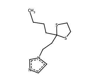 CCCCC1(CCn2ccnc2)SCCS1